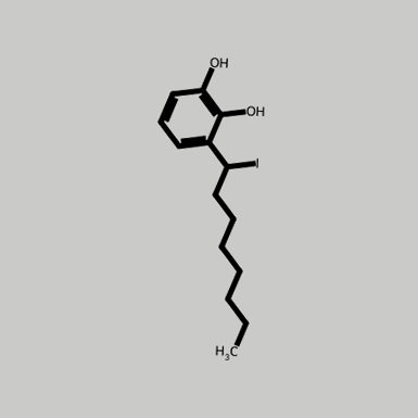 CCCCCCCC(I)c1cccc(O)c1O